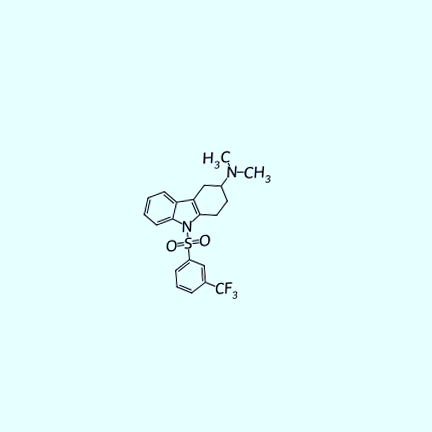 CN(C)C1CCc2c(c3ccccc3n2S(=O)(=O)c2cccc(C(F)(F)F)c2)C1